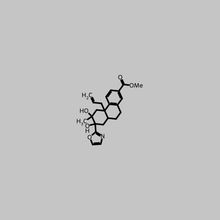 C=CCC12CC(C)(O)C(O)(c3ncco3)CC1CCc1cc(C(=O)OC)ccc12